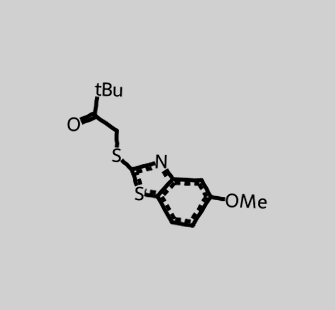 COc1ccc2sc(SCC(=O)C(C)(C)C)nc2c1